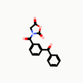 O=C1CN(C(=O)c2cccc(C(=O)c3ccccc3)c2)C(=O)O1